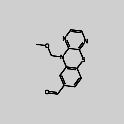 COCN1c2cc(C=O)ccc2Sc2nccnc21